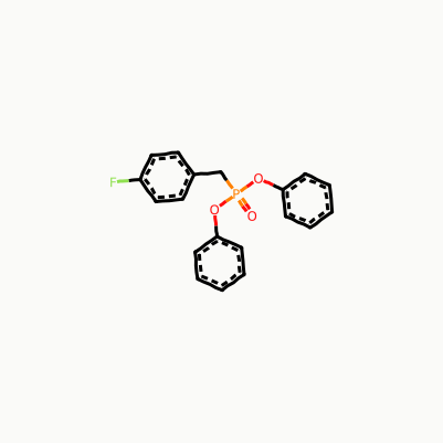 O=P(Cc1ccc(F)cc1)(Oc1ccccc1)Oc1ccccc1